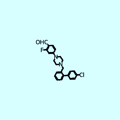 O=Cc1ccc(N2CCN(Cc3ccccc3-c3ccc(Cl)cc3)CC2)cc1F